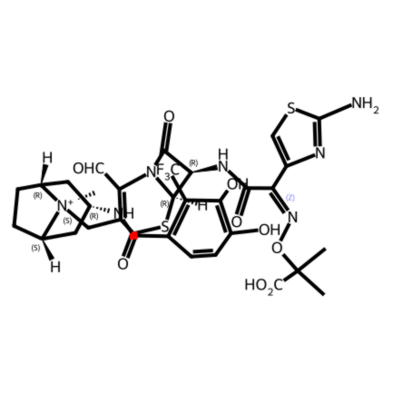 CC(C)(O/N=C(\C(=O)N[C@@H]1C(=O)N2C(C=O)=C(C[N@+]3(C)[C@@H]4CC[C@H]3C[C@@H](NC(=O)c3ccc(O)c(O)c3C(F)(F)F)C4)CS[C@H]12)c1csc(N)n1)C(=O)O